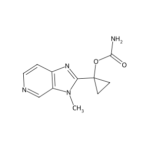 Cn1c(C2(OC(N)=O)CC2)nc2ccncc21